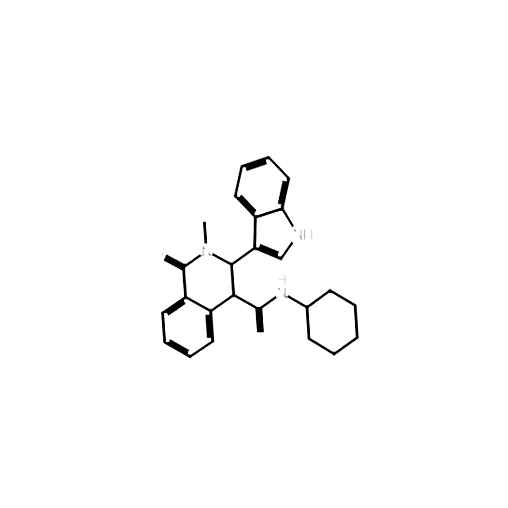 CN1C(=O)c2ccccc2C(C(=O)NC2CCCCC2)C1c1c[nH]c2ccccc12